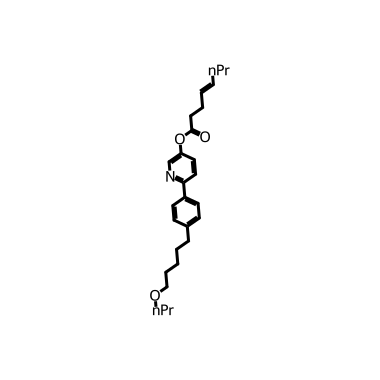 CCCC=CCCC(=O)Oc1ccc(-c2ccc(CCCCCOCCC)cc2)nc1